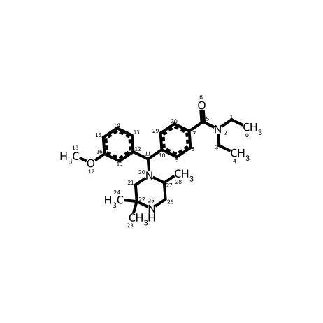 CCN(CC)C(=O)c1ccc(C(c2cccc(OC)c2)N2CC(C)(C)NCC2C)cc1